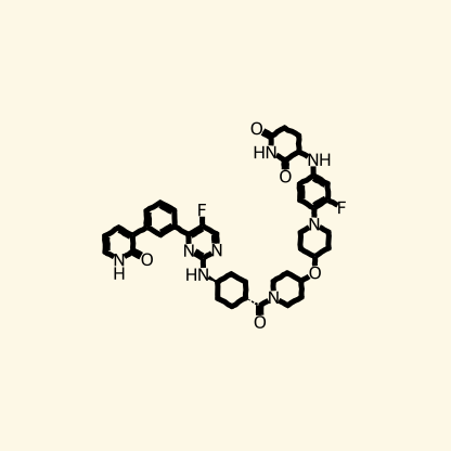 O=C1CCC(Nc2ccc(N3CCC(OC4CCN(C(=O)[C@H]5CC[C@H](Nc6ncc(F)c(-c7cccc(-c8ccc[nH]c8=O)c7)n6)CC5)CC4)CC3)c(F)c2)C(=O)N1